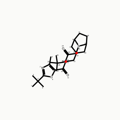 Cc1nc(C(C)(C)C)oc1C(=O)NCC1CC2CCC(C1)N2CC(=O)NC(C)(C)C